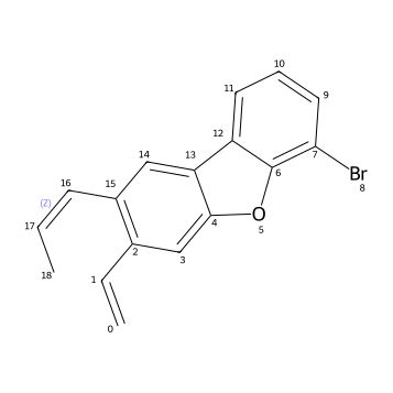 C=Cc1cc2oc3c(Br)cccc3c2cc1/C=C\C